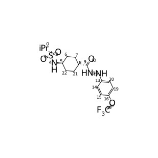 CC(C)S(=O)(=O)N[C@H]1CC[C@H](C(=O)NNc2ccc(OC(F)(F)F)cc2)CC1